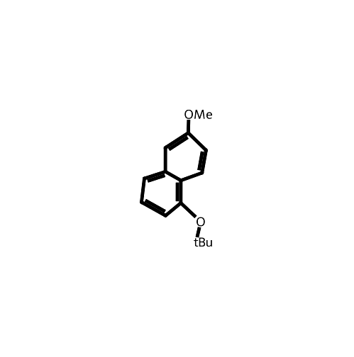 COc1ccc2c(OC(C)(C)C)cccc2c1